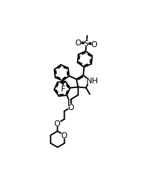 CC1NC(c2ccc(S(C)(=O)=O)cc2)=C(c2ccccc2F)C1(CCOCCOC1CCCCO1)c1ccccc1F